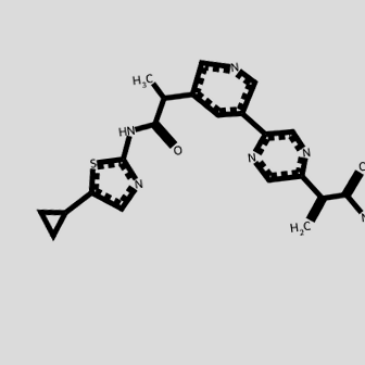 C=C(C(N)=O)c1cnc(-c2cncc(C(C)C(=O)Nc3ncc(C4CC4)s3)c2)cn1